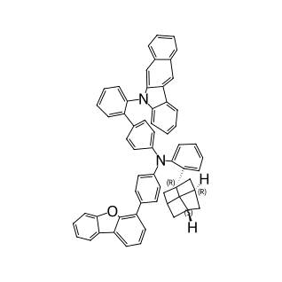 c1ccc(-n2c3ccccc3c3cc4ccccc4cc32)c(-c2ccc(N(c3ccc(-c4cccc5c4oc4ccccc45)cc3)c3ccccc3[C@]34CC5C[C@H]6C[C@H](C3)C564)cc2)c1